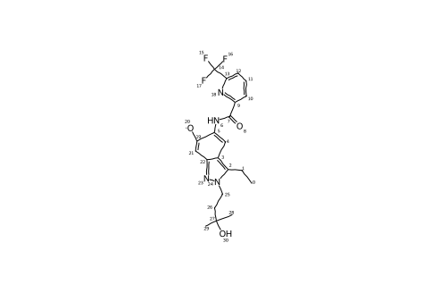 CCc1c2cc(NC(=O)c3cccc(C(F)(F)F)n3)c([O])cc2nn1CCC(C)(C)O